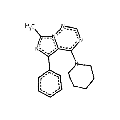 Cc1nc(-c2ccccc2)c2c(N3CCCCC3)ncnn12